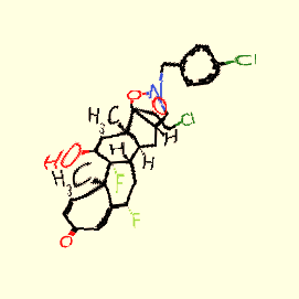 C[C@]12C=CC(=O)C=C1[C@@H](F)C[C@H]1[C@@H]3C[C@H]4CN(Cc5ccc(Cl)cc5)O[C@@]4(C(=O)CCl)[C@@]3(C)C[C@H](O)[C@@]12F